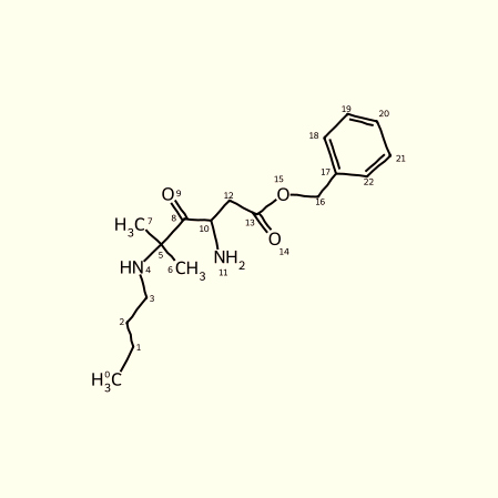 CCCCNC(C)(C)C(=O)C(N)CC(=O)OCc1ccccc1